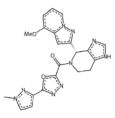 COc1cccn2nc([C@@H]3c4nc[nH]c4CCN3C(=O)c3nnc(-c4ccn(C)n4)o3)cc12